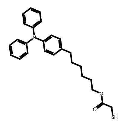 O=C(CS)OCCCCCCc1ccc(N(c2ccccc2)c2ccccc2)cc1